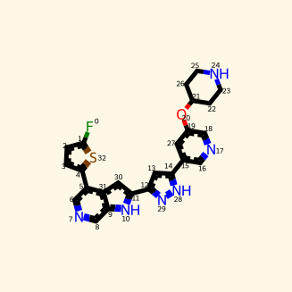 Fc1ccc(-c2cncc3[nH]c(-c4cc(-c5cncc(OC6CCNCC6)c5)[nH]n4)cc23)s1